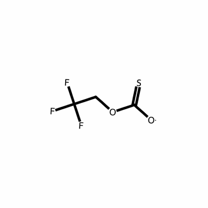 [O]C(=S)OCC(F)(F)F